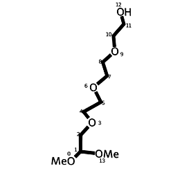 COC(COCCOCCOCCO)OC